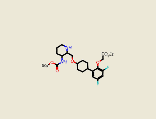 CCOC(=O)COc1c(F)cc(F)cc1C1CCC(OCC2NCCCC2NC(=O)OC(C)(C)C)CC1